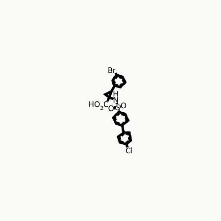 O=C(O)C1(NS(=O)(=O)c2ccc(-c3ccc(Cl)cc3)cc2)CC1c1cccc(Br)c1